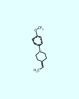 CC=C1CCN(c2ccc(OC(F)(F)F)cc2)CC1